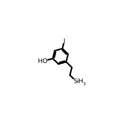 Oc1cc(I)cc(CC[SiH3])c1